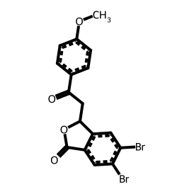 COc1ccc(C(=O)CC2OC(=O)c3cc(Br)c(Br)cc32)cc1